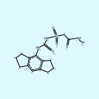 CC(C)NC(=O)CS(=O)(=O)NC(=O)Nc1c2c(cc3c1CCC3)CCC2